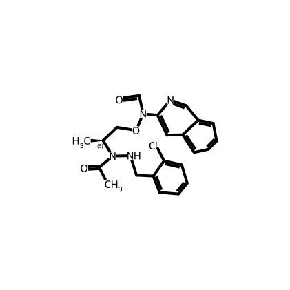 CC(=O)N(NCc1ccccc1Cl)[C@@H](C)CON(C=O)c1cc2ccccc2cn1